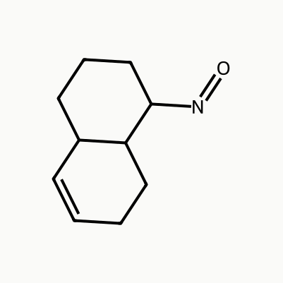 O=NC1CCCC2C=CCCC21